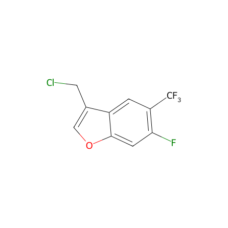 Fc1cc2occ(CCl)c2cc1C(F)(F)F